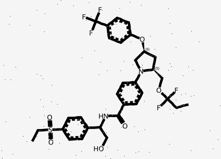 CCC(F)(F)OC[C@@H]1C[C@H](Oc2ccc(C(F)(F)F)cc2)CN1c1ccc(C(=O)NC(CO)c2ccc(S(=O)(=O)CC)cc2)cc1